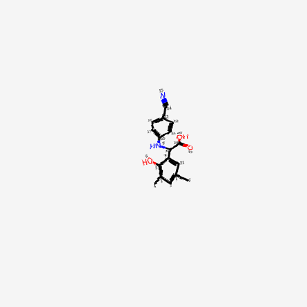 Cc1cc(C)c(O)c(C(Nc2ccc(C#N)cc2)C(=O)O)c1